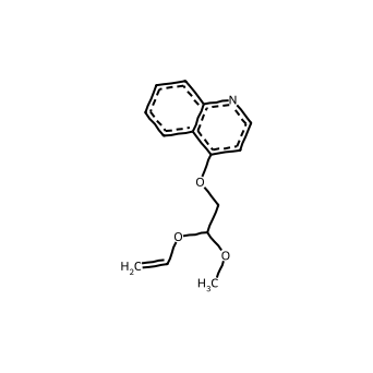 C=COC(COc1ccnc2ccccc12)OC